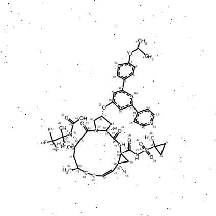 CC(C)Oc1ccc(-c2cc(O[C@@H]3C[C@H]4C(=O)N[C@]5(C(=O)NS(=O)(=O)C6(C)CC6)C[C@H]5C=CCC[C@@H](C)C[C@@H](C)[C@H](N(C(=O)O)C(C)(C)C(F)(F)F)C(=O)N4C3)cc(-c3ccncc3)n2)cc1